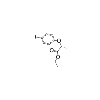 CCOC(=O)[C@@H](C)Oc1ccc(I)cc1